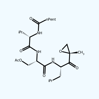 CCCCCC(=O)N[C@H](C(=O)N[C@@H](COC(C)=O)C(=O)N[C@@H](CC(C)C)C(=O)[C@@]1(C)CO1)C(C)C